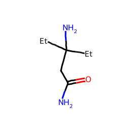 CCC(N)(CC)CC(N)=O